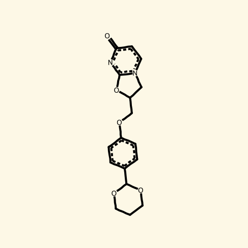 O=c1ccn2c(n1)OC(COc1ccc(C3OCCCO3)cc1)C2